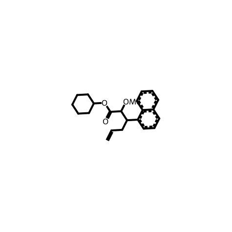 C=CCC(c1cccc2ccccc12)C(OC)C(=O)OC1CCCCC1